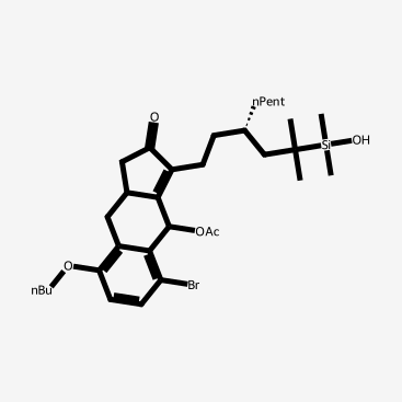 CCCCC[C@@H](CCC1=C2C(CC1=O)Cc1c(OCCCC)ccc(Br)c1C2OC(C)=O)CC(C)(C)[Si](C)(C)O